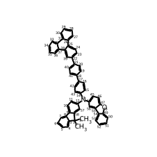 CC1(C)c2ccccc2-c2ccc(N(c3ccc(-c4ccc(-c5ccc6c7ccccc7c7ccccc7c6c5)cc4)cc3)c3ccc4oc5ccccc5c4c3)cc21